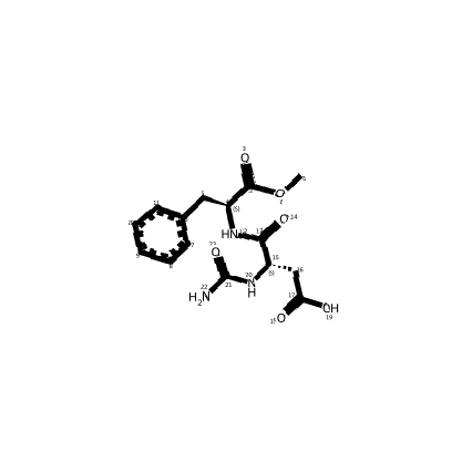 COC(=O)[C@H](Cc1ccccc1)NC(=O)[C@H](CC(=O)O)NC(N)=O